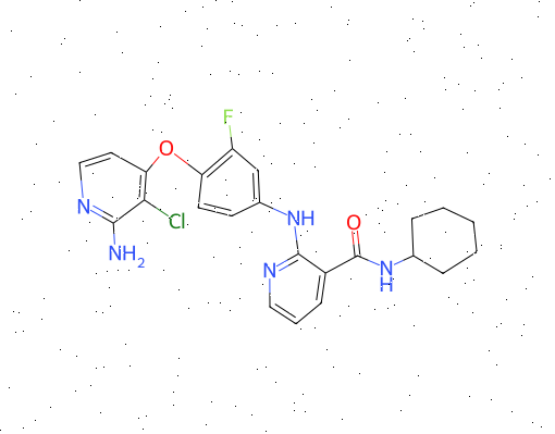 Nc1nccc(Oc2ccc(Nc3ncccc3C(=O)NC3CCCCC3)cc2F)c1Cl